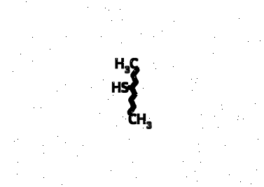 CCCCCC(S)CCCC